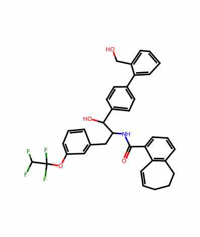 O=C(NC(Cc1cccc(OC(F)(F)C(F)F)c1)C(O)c1ccc(-c2ccccc2CO)cc1)c1cccc2c1C=CCCC2